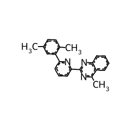 Cc1ccc(C)c(-c2cccc(-c3nc(C)c4ccccc4n3)n2)c1